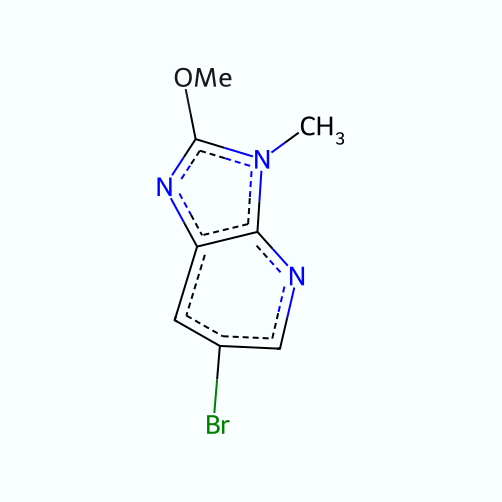 COc1nc2cc(Br)cnc2n1C